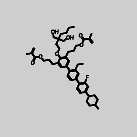 C=C(C)C(=O)OCCCc1cc(-c2ccc(-c3ccc(C4CCC(C)CC4)cc3F)cc2CC)cc(CCCOC(=O)C(=C)C)c1OCCC(CO)(CO)CCCC